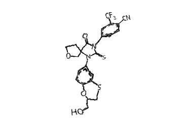 N#Cc1ccc(N2C(=O)C3(CCOC3)N(c3ccc4c(c3)SCC(CO)O4)C2=S)cc1C(F)(F)F